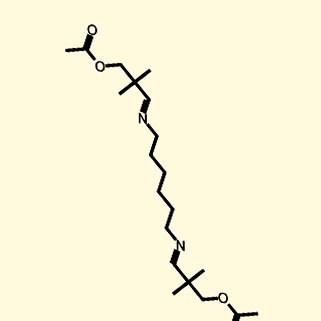 CC(=O)OCC(C)(C)C=NCCCCCCN=CC(C)(C)COC(C)=O